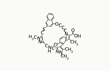 Cc1c(C(=O)O)n2c3ccc(Cl)c(c13)-c1c(nn(C)c1C)CNCc1cc(n(C)n1)CSc1cc(c3ccccc3c1)OCCC2